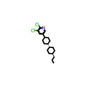 CCC[C@H]1CC[C@H](C2CCC(c3cnc(Cl)c(Cl)c3)CC2)CC1